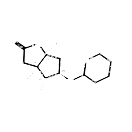 O=C[C@@H]1[C@H]2CC(=O)O[C@H]2C[C@H]1OC1CCCCO1